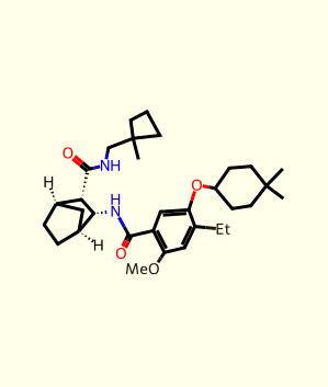 CCc1cc(OC)c(C(=O)N[C@@H]2[C@H]3CC[C@H](C3)[C@@H]2C(=O)NCC2(C)CCC2)cc1OC1CCC(C)(C)CC1